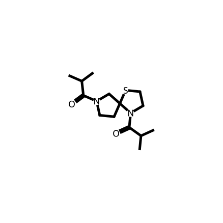 CC(C)C(=O)N1CCC2(C1)SCCN2C(=O)C(C)C